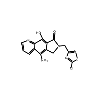 CNc1c2c(c(O)c3ncccc13)C(=O)N(Cc1nsc(Cl)n1)C2